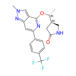 C[C@@H](Oc1nc(-c2ccc(C(F)(F)F)cc2)cc2nn(C)cc12)[C@H]1CNC(=O)C1